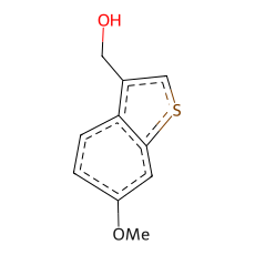 COc1ccc2c(CO)csc2c1